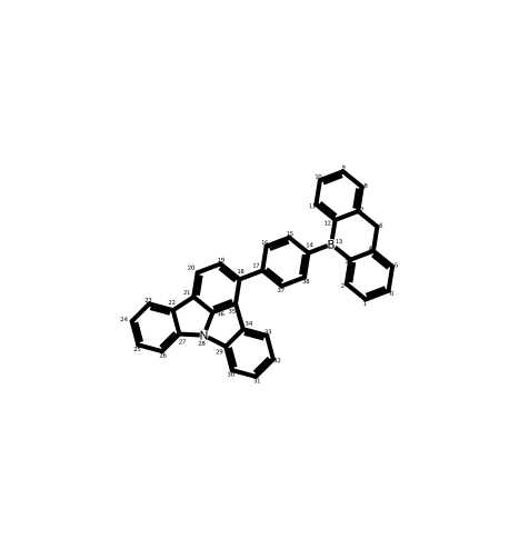 c1ccc2c(c1)Cc1ccccc1B2c1ccc(-c2ccc3c4ccccc4n4c5ccccc5c2c34)cc1